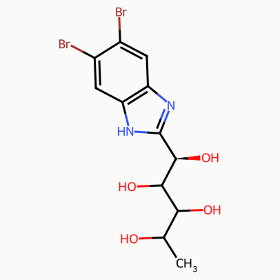 CC(O)C(O)C(O)[C@H](O)c1nc2cc(Br)c(Br)cc2[nH]1